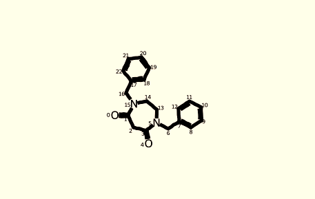 O=C1CC(=O)N(Cc2ccccc2)CCN1Cc1ccccc1